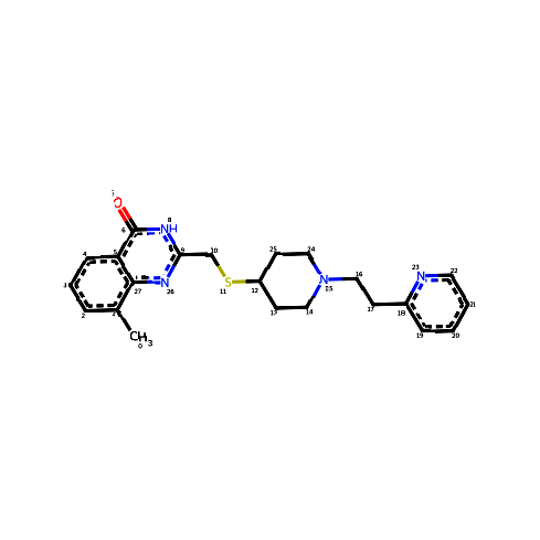 Cc1cccc2c(=O)[nH]c(CSC3CCN(CCc4ccccn4)CC3)nc12